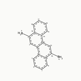 Bc1cc2c3ccccc3c(B)cc2c2ccccc12